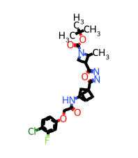 CC1C(c2nnc(C34CC(C3)C(NC(=O)COc3ccc(Cl)c(F)c3)C4)o2)CN1C(=O)OC(C)(C)C